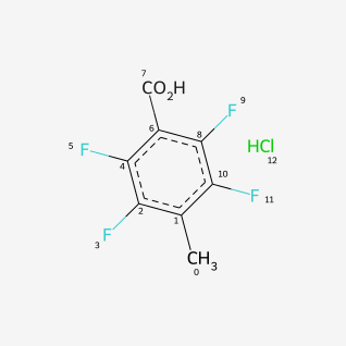 Cc1c(F)c(F)c(C(=O)O)c(F)c1F.Cl